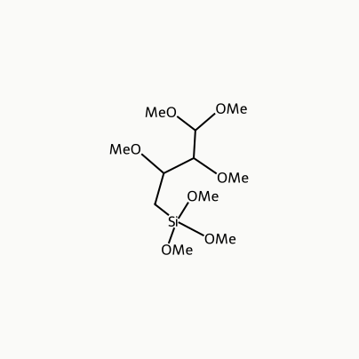 COC(C[Si](OC)(OC)OC)C(OC)C(OC)OC